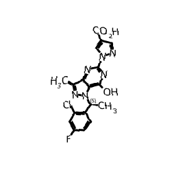 Cc1nn([C@@H](C)c2ccc(F)cc2Cl)c2c(O)nc(-n3cc(C(=O)O)cn3)nc12